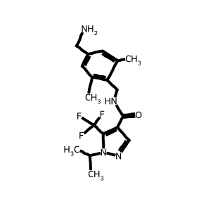 Cc1cc(CN)cc(C)c1CNC(=O)c1cnn(C(C)C)c1C(F)(F)F